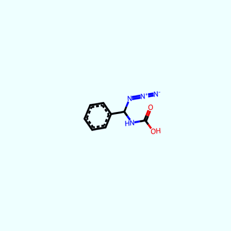 [N-]=[N+]=NC(NC(=O)O)c1ccccc1